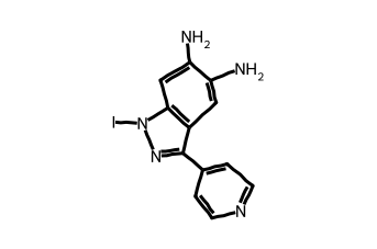 Nc1cc2c(-c3ccncc3)nn(I)c2cc1N